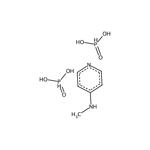 CNc1ccncc1.O=[PH](O)O.O=[PH](O)O